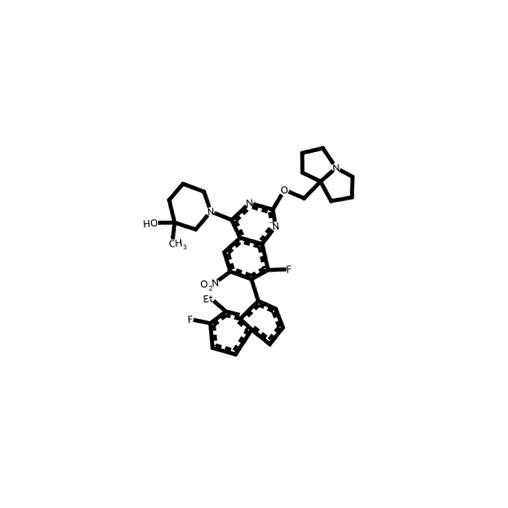 CCc1c(F)ccc2cccc(-c3c([N+](=O)[O-])cc4c(N5CCCC(C)(O)C5)nc(OCC56CCCN5CCC6)nc4c3F)c12